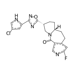 O=C1c2cnc(F)cc2CC[C@H]2CC[C@@H](c3nc(-c4cc(Cl)c[nH]4)no3)CN12